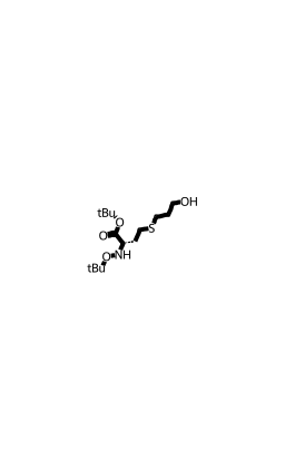 CC(C)(C)ON[C@@H](CCSCCCO)C(=O)OC(C)(C)C